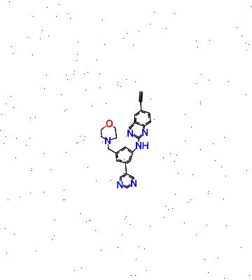 C#Cc1ccc2nc(Nc3cc(CN4CCOCC4)cc(-c4cncnc4)c3)ncc2c1